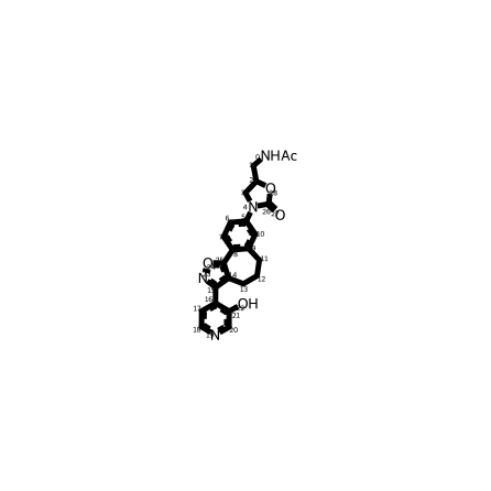 CC(=O)NCC1CN(c2ccc3c(c2)CCCc2c(-c4ccncc4O)noc2-3)C(=O)O1